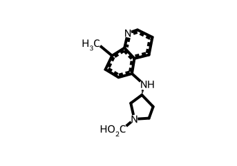 Cc1ccc(N[C@@H]2CCN(C(=O)O)C2)c2cccnc12